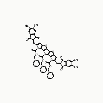 N#Cc1cc2c(cc1C#N)C(=O)C(=Cc1cc3sc4c5sc6cc(C=C7C(=O)c8cc(C#N)c(C#N)cc8C7=O)n(C(=O)OCc7ccccc7)c6c5n(C(=O)OCc5ccccc5)c4c3n1C(=O)OCc1ccccc1)C2=O